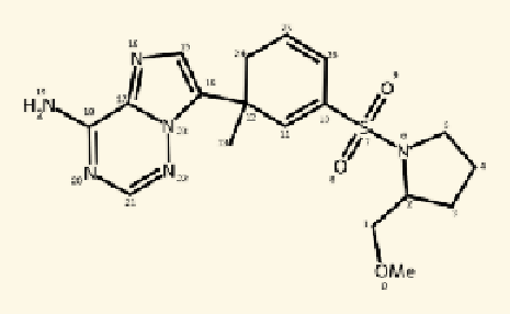 COCC1CCCN1S(=O)(=O)C1=CC(C)(c2cnc3c(N)ncnn23)CC=C1